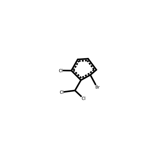 Clc1cccc(Br)c1C(Cl)Cl